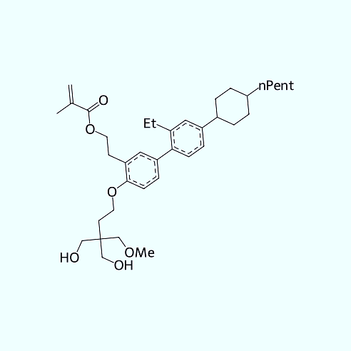 C=C(C)C(=O)OCCc1cc(-c2ccc(C3CCC(CCCCC)CC3)cc2CC)ccc1OCCC(CO)(CO)COC